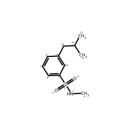 CNS(=O)(=O)c1cccc(CC(C)C)c1